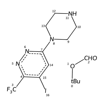 CC(C)(C)OC=O.FC(F)(F)c1nnc(N2CCNCC2)cc1I